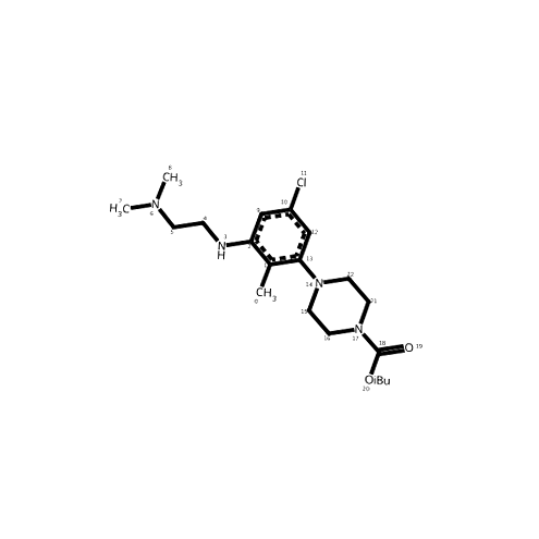 Cc1c(NCCN(C)C)cc(Cl)cc1N1CCN(C(=O)OCC(C)C)CC1